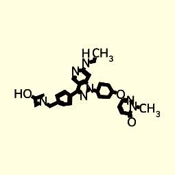 CCNc1cc2c(cn1)c(-c1ccc(CN3CC(O)C3)cc1)nn2C1CCC(Oc2ccc(=O)n(C)n2)CC1